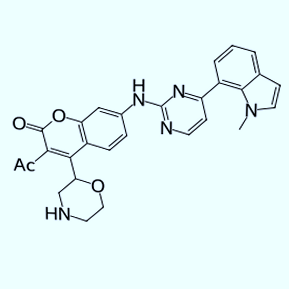 CC(=O)c1c(C2CNCCO2)c2ccc(Nc3nccc(-c4cccc5ccn(C)c45)n3)cc2oc1=O